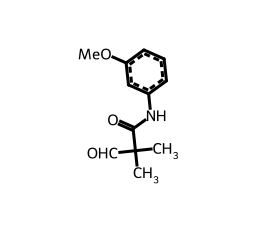 COc1cccc(NC(=O)C(C)(C)C=O)c1